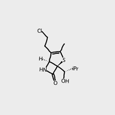 CC1=C(CCCl)[C@@H]2NC(=O)[C@]2([C@@H](O)C(C)C)S1